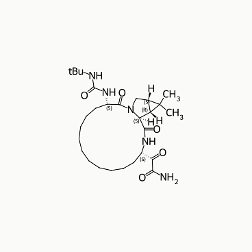 CC(C)(C)NC(=O)N[C@H]1CCCCCCCCCC[C@@H](C(=O)C(N)=O)NC(=O)[C@@H]2[C@@H]3[C@H](CN2C1=O)C3(C)C